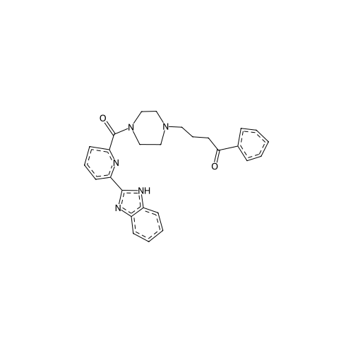 O=C(CCCN1CCN(C(=O)c2cccc(-c3nc4ccccc4[nH]3)n2)CC1)c1ccccc1